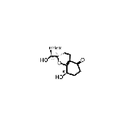 CCCCCC[C@H](O)[C@@H]1CCC2=C(O1)[C@H](O)CCC2=O